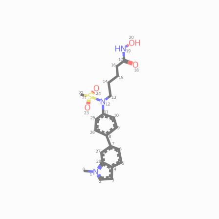 Cn1ccc2ccc(-c3ccc(N(CCCCC(=O)NO)S(C)(=O)=O)cc3)cc21